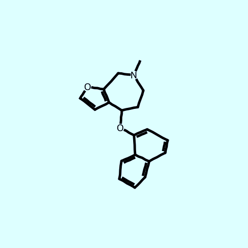 CN1CCC(Oc2cccc3ccccc23)c2ccoc2C1